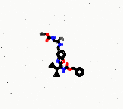 CC(C)(C)OC(=O)NC[C@@H](NCc1ccc2oc([C@@H](NC(=O)OCc3ccccc3)C(C3CC3)C3CC3)nc2c1)C(F)(F)F